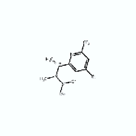 CCc1cc([C@@H](C)N(C)[S+]([O-])C(C)(C)C)nc(C(F)(F)F)c1